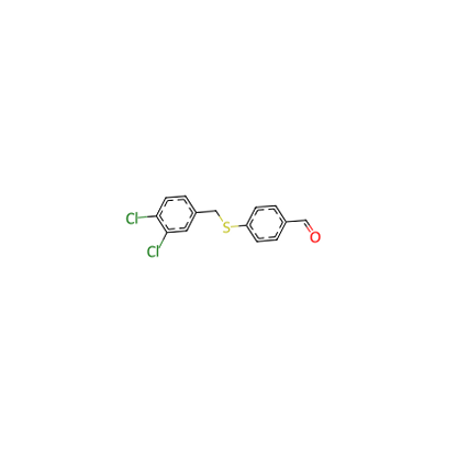 O=Cc1ccc(SCc2ccc(Cl)c(Cl)c2)cc1